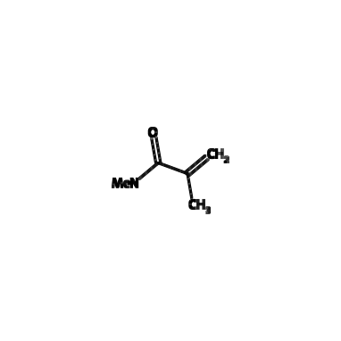 [CH]NC(=O)C(=C)C